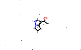 CC(O)c1cnn2c1CCC2